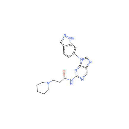 O=C(CCN1CCCCC1)Nc1ncc2ncn(-c3ccc4cn[nH]c4c3)c2n1